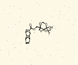 CC1(COC(=O)C2CC3CC2C2C4C=CC(C4)C32)OCOC(O)(C(F)(F)F)C1(F)F